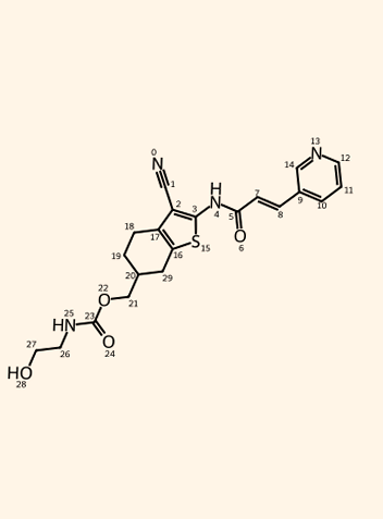 N#Cc1c(NC(=O)C=Cc2cccnc2)sc2c1CCC(COC(=O)NCCO)C2